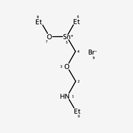 CCNCO[CH2][Sn+]([CH2]C)[O]CC.[Br-]